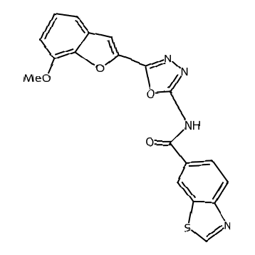 COc1cccc2cc(-c3nnc(NC(=O)c4ccc5ncsc5c4)o3)oc12